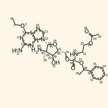 CCOc1nc(N)nc2c1ncn2[C@@H]1O[C@H](COP(=O)(NCCOC(C)=O)OC(C)c2ccccc2)[C@@H](O)[C@@]1(C)N